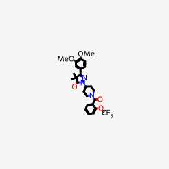 COc1ccc(C2=NN(C3CCN(C(=O)c4ccccc4OC(F)(F)F)CC3)C(=O)C2(C)C)cc1OC